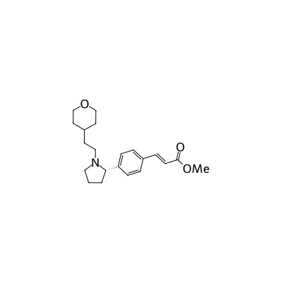 COC(=O)/C=C/c1ccc([C@@H]2CCCN2CCC2CCOCC2)cc1